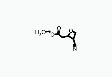 CCOC(=O)CC1OCC1C#N